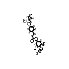 CCC1(COc2ccc(CCC(=O)Oc3ccc(OC(F)(F)F)c(F)c3)cc2)COC1